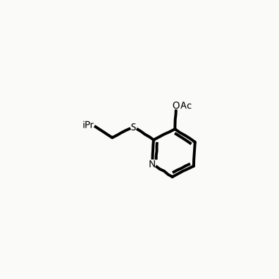 CC(=O)Oc1cccnc1SCC(C)C